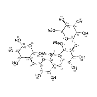 COC1O[C@@H](O[C@@H]2C(OC)O[C@@H](O[C@@H]3C(OC)O[C@@H](O[C@@H]4C(OC)O[C@@H](O)C(O)C4O)C(O)C3O)C(O)C2O)C(O)C(O)[C@@H]1O